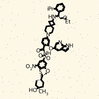 CCOC[C@H](NC1CC2(CCN(c3ccc(C(=O)NS(=O)(=O)c4cc5c(c([N+](=O)[O-])c4)S[C@@H]([C@H]4CC[C@](C)(O)CC4)CO5)c(Oc4cnc5[nH]ccc5c4)c3)CC2)C1)c1ccccc1C(C)C